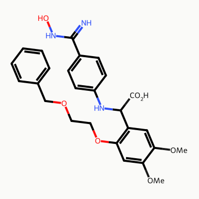 COc1cc(OCCOCc2ccccc2)c(C(Nc2ccc(C(=N)NO)cc2)C(=O)O)cc1OC